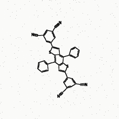 N#Cc1cc(C#N)cc(-c2cc3c(-c4ccccc4)c4sc(-c5cc(C#N)cc(C#N)c5)cc4c(-c4ccccc4)c3s2)c1